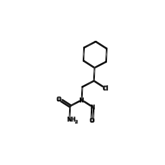 NC(=O)N(CC(Cl)C1CCCCC1)N=O